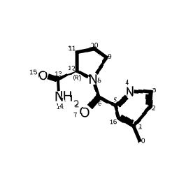 Cc1ccnc(C(=O)N2CCC[C@@H]2C(N)=O)c1